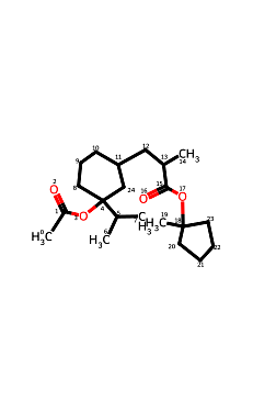 CC(=O)OC1(C(C)C)CCCC(CC(C)C(=O)OC2(C)CCCC2)C1